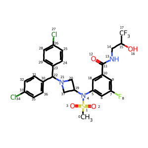 CS(=O)(=O)N(c1cc(F)cc(C(=O)NCC(O)C(F)(F)F)c1)C1CN(C(c2ccc(Cl)cc2)c2ccc(Cl)cc2)C1